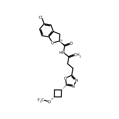 C=C(CCc1nnc([C@H]2C[C@@H](OC(F)(F)F)C2)o1)NC(=O)[C@@H]1Cc2cc(Cl)ccc2O1